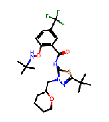 CC(C)(C)NOc1ccc(C(F)(F)F)cc1C(=O)/N=c1\sc(C(C)(C)C)nn1CC1CCCCO1